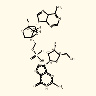 NC1=NC=NC2C1N=CN2[C@@H]1O[C@@]2(COP(O)(=S)O[C@@H]3[C@@H](F)[C@@H](CO)S[C@H]3n3cnc4c(=O)[nH]c(N)nc43)CO[C@@H]1[C@@H]2O